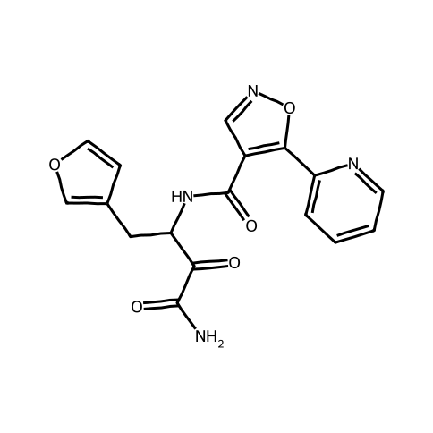 NC(=O)C(=O)C(Cc1ccoc1)NC(=O)c1cnoc1-c1ccccn1